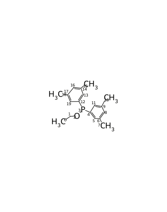 CCOP(c1cc(C)cc(C)c1)c1cc(C)cc(C)c1